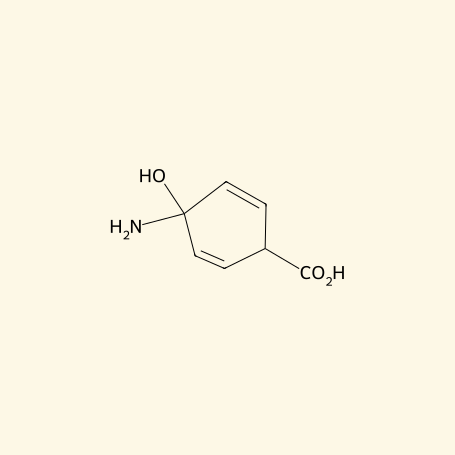 NC1(O)C=CC(C(=O)O)C=C1